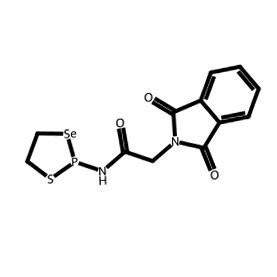 O=C(CN1C(=O)c2ccccc2C1=O)NP1SCC[Se]1